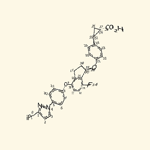 CC(C)c1ccn(-c2ccc(Oc3ccc(F)c4c3CC[C@H]4Oc3ccc([C@H]4C[C@@H]4C(=O)O)cc3)cc2)n1